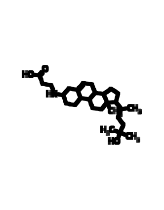 CC(CCC(C)(C)O)C1CCC2C3CC=C4CC(NCCC(=O)O)CCC4C3CCC12C